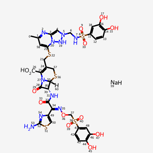 CC1=NC2=CN(CNS(=O)(=O)c3ccc(O)c(O)c3)NN2C(SCC2=C(C(=O)O)N3C(=O)[C@@H](NC(=O)C(=NOCS(=O)(=O)c4ccc(O)c(O)c4)c4csc(N)n4)[C@H]3SC2)=C1.[NaH]